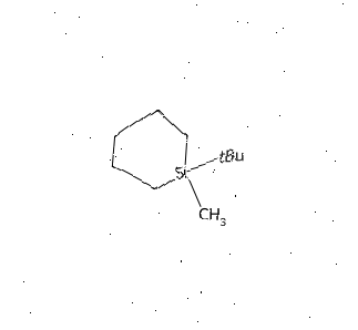 CC(C)(C)[Si]1(C)CCCCC1